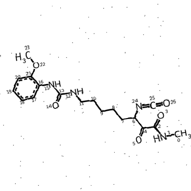 CNC(=O)C(=O)C(CCCCCNC(=O)Nc1ccccc1OC)N=C=O